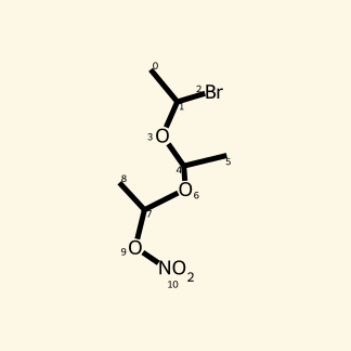 CC(Br)OC(C)OC(C)O[N+](=O)[O-]